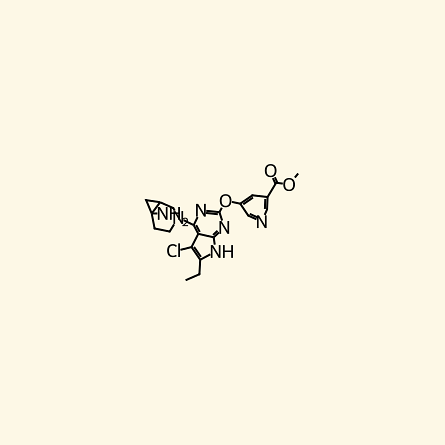 CCc1[nH]c2nc(Oc3cncc(C(=O)OC)c3)nc(N3CCC4(N)CC4C3)c2c1Cl